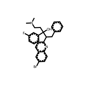 CN(C)CCC(O)(c1cccc(F)c1)C(Cc1ccccc1)c1ccc2cc(Br)ccc2n1